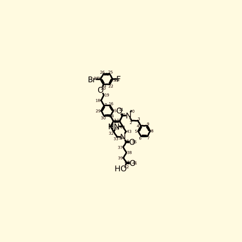 CN(CCc1ccccc1)C(=O)C1=C(c2ccc(CCOc3cc(F)ccc3Br)cc2)CC2CN(C(=O)CCCC(=O)O)CC1N2